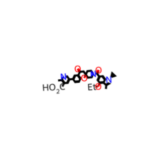 CCOc1cc(C(=O)N2CCC3(CC2)CC(=O)c2cc(-c4cnc(C)c(C(=O)O)c4)ccc2O3)cc2c1c(C)cn2C1CC1